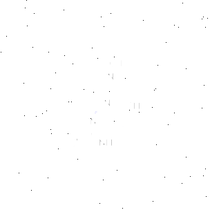 C=C(N)/N=C(\C=C/C)N1CCN(C)CC1